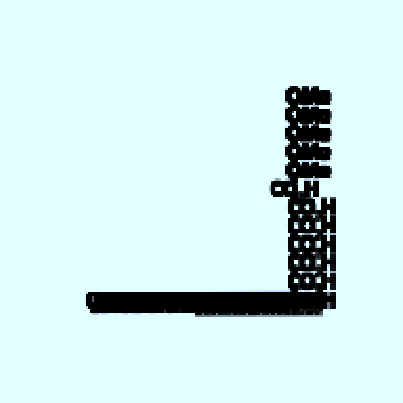 CC(=O)O.CC(=O)O.CC(=O)O.CC(=O)O.CC(=O)O.CC(=O)O.CC(=O)O.CC(=O)O.CC(=O)O.CC(=O)O.CC(=O)O.CC(=O)O.CC(=O)O.CC(=O)O.CC(=O)O.CC(=O)O.CC(=O)O.CC(=O)O.CC(=O)O.CC(=O)O.CC(=O)O.CC(=O)O.CC(=O)O.COC.COC.COC.COC.COC.COC.COC.COC.COC.COC.COC.COC.COC.COC.COC.COC